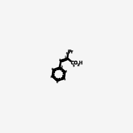 CC(C)C(=Cc1ccccc1)C(=O)O